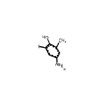 Cc1cc(N)cc(I)c1O